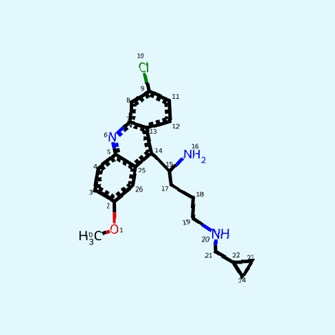 COc1ccc2nc3cc(Cl)ccc3c(C(N)CCCNCC3CC3)c2c1